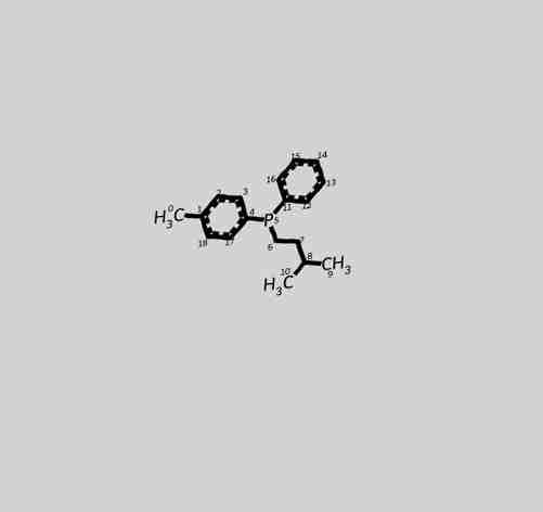 Cc1ccc(P(CCC(C)C)c2ccccc2)cc1